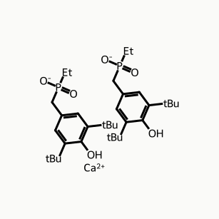 CCP(=O)([O-])Cc1cc(C(C)(C)C)c(O)c(C(C)(C)C)c1.CCP(=O)([O-])Cc1cc(C(C)(C)C)c(O)c(C(C)(C)C)c1.[Ca+2]